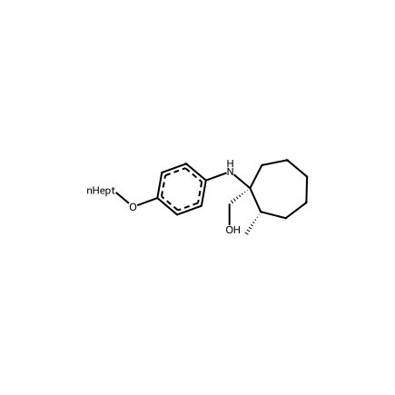 CCCCCCCOc1ccc(N[C@@]2(CO)CCCCC[C@@H]2C)cc1